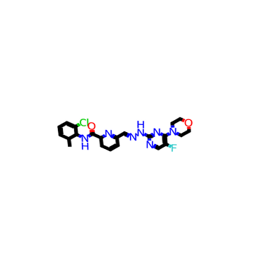 CC1C=CC=C(Cl)C1NC(=O)C1CC=CC(/C=N/Nc2ncc(F)c(N3CCOCC3)n2)=N1